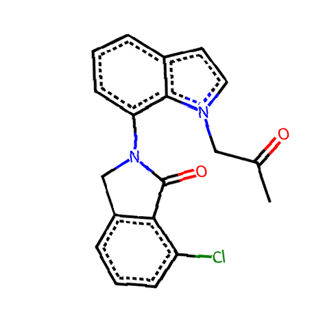 CC(=O)Cn1ccc2cccc(N3Cc4cccc(Cl)c4C3=O)c21